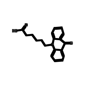 O=C(O)CCCCCn1c2ccccc2c(=O)c2ccccc21